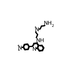 CN(CCCN)CCCNc1cc(-c2ccc(N(C)C)cc2)nc2ccccc12